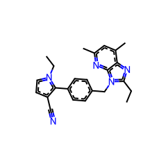 CCc1nc2c(C)cc(C)nc2n1Cc1ccc(-c2c(C#N)ccn2CC)cc1